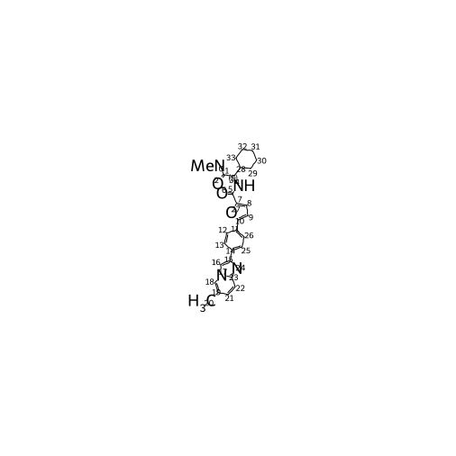 CNC(=O)[C@@H](NC(=O)c1ccc(-c2ccc(-c3cn4cc(C)ccc4n3)cc2)o1)C1CCCCC1